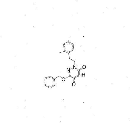 Cc1ccccc1CCn1nc(OCc2ccccc2)c(=O)[nH]c1=O